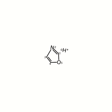 [H+].[c]1ncco1